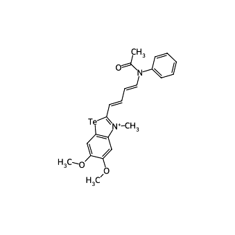 COc1cc2[te]c(C=CC=CN(C(C)=O)c3ccccc3)[n+](C)c2cc1OC